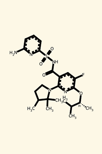 CC(C)[C@@H](C)Oc1nc(N2CCC(C)C2(C)C)c(C(=O)NS(=O)(=O)c2cccc(N)n2)cc1F